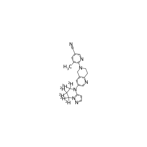 [2H]C1([2H])N(c2cnc3c(c2)CN(c2ncc(C#N)cc2C)CC3)c2ccnn2C([2H])([2H])C1([2H])[2H]